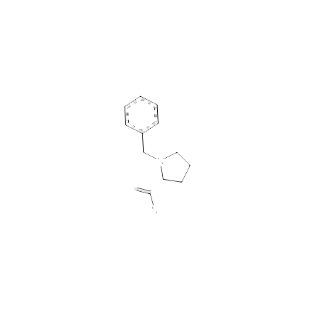 NC(=O)[C@H]1CCCN1Cc1ccccc1